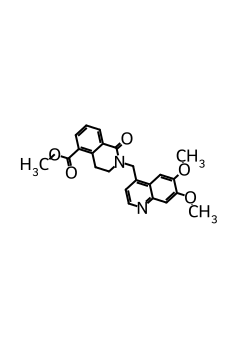 COC(=O)c1cccc2c1CCN(Cc1ccnc3cc(OC)c(OC)cc13)C2=O